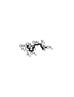 CC(=O)OC(C/C=C\CCC[C@H](C)[C@H](C)[C@@H](C)C(C)C(C)(C)C=O)/C(C)=C/c1csc(C)n1